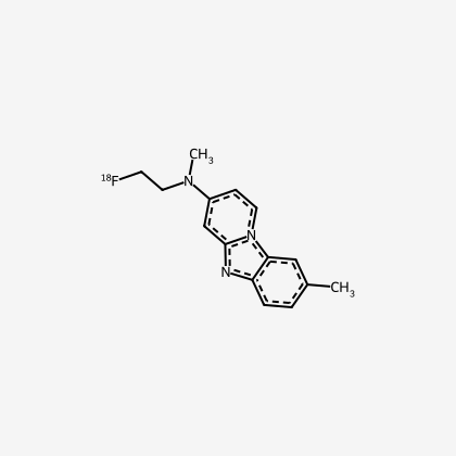 Cc1ccc2nc3cc(N(C)CC[18F])ccn3c2c1